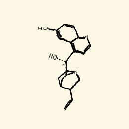 C=CC1CN2CCC1CC2[C@H](O)c1ccnc2ccc(O)cc12